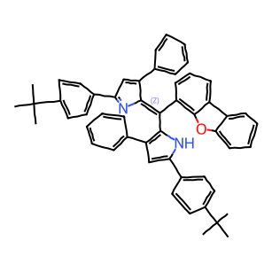 CC(C)(C)c1ccc(C2=N/C(=C(\c3[nH]c(-c4ccc(C(C)(C)C)cc4)cc3-c3ccccc3)c3cccc4c3oc3ccccc34)C(c3ccccc3)=C2)cc1